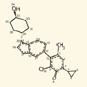 Cc1cn(C2CC2)c(=O)c(Cl)c1-c1ccc2c(ccn2[C@H]2CC[C@H](O)CC2)c1